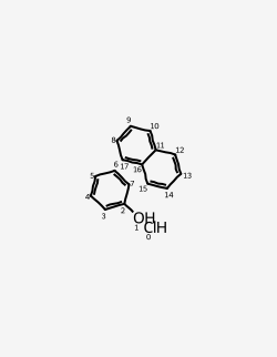 Cl.Oc1ccccc1.c1ccc2ccccc2c1